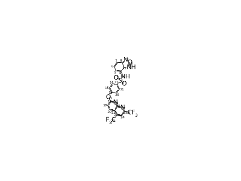 O=S(=O)(NC1=CC=CC2=NONC12)c1ccc(Oc2ccc3c(C(F)(F)F)cc(C(F)(F)F)nc3n2)cc1